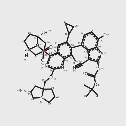 CC(C)(C)OC(=O)Nc1sc2c(F)ccc(-c3c(C4CC4)cc4c(N5C[C@H]6CC[C@@H](C5)N6C(=O)O)nc(OC[C@@]56CCCN5C[C@H](F)C6)nc4c3F)c2c1C#N